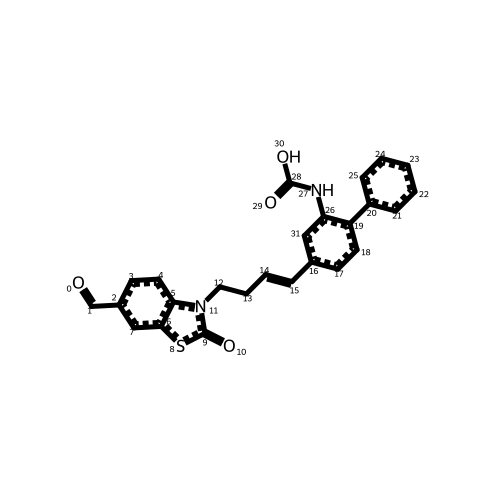 O=Cc1ccc2c(c1)sc(=O)n2CCC=Cc1ccc(-c2ccccc2)c(NC(=O)O)c1